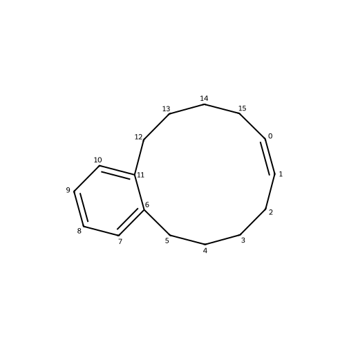 C1=CCCCCc2ccccc2CCCC1